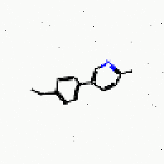 CCc1ccc(-c2ccc(C)nc2)cc1